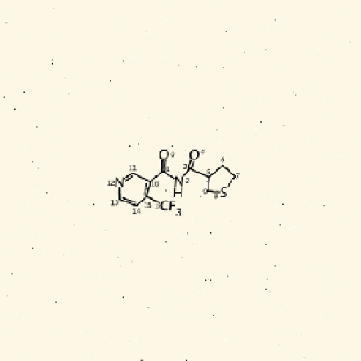 O=C(NC(=O)C1CCSC1)c1cnccc1C(F)(F)F